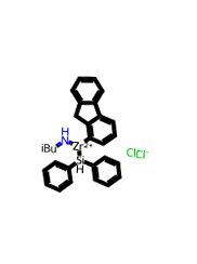 CCC(C)[NH][Zr+2]([c]1cccc2c1Cc1ccccc1-2)[SiH](c1ccccc1)c1ccccc1.[Cl-].[Cl-]